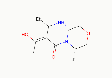 CCC(N)/C(C(=O)N1CCOC[C@@H]1C)=C(/C)O